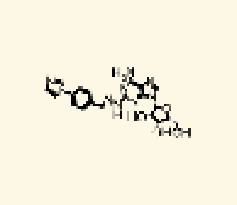 Nc1nc(NN=Cc2ccc(-n3ccnc3)cc2)nc2c1ncn2[C@@H]1O[C@H](CO)[C@@H](O)[C@H]1O